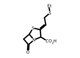 CCSC/C=C1\SC2CC(=O)N2C1C(=O)O